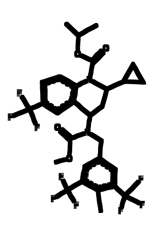 COC(=O)N(Cc1cc(C(F)(F)F)c(C)c(C(F)(F)F)c1)C1CC(C2CC2)N(C(=O)OC(C)C)c2ccc(C(F)(F)F)cc21